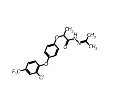 CC(C)=NNC(=O)C(C)Oc1ccc(Oc2ccc(C(F)(F)F)cc2Cl)cc1